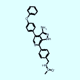 C[S+]([O-])NCc1ccc(-c2ncc(-c3ccc(Oc4ccccc4)cc3)c3c(N)n[nH]c23)cc1